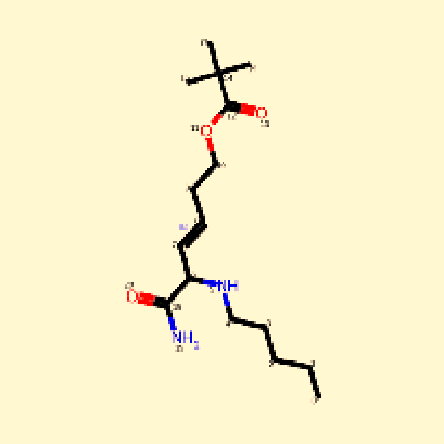 CCCCCNC(/C=C/CCOC(=O)C(C)(C)C)C(N)=O